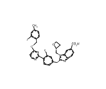 Cc1ccc(COc2ccnc(-c3ccc(Cc4nc5ccc(C(=O)O)cc5n4C[C@@H]4CCO4)cc3F)n2)c(F)c1